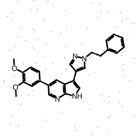 COc1ccc(-c2cnc3[nH]cc(-c4cnn(CCc5ccccc5)c4)c3c2)cc1OC